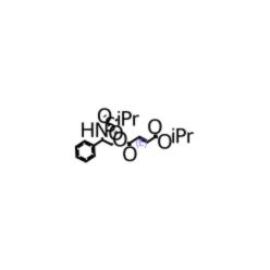 CC(C)OC(=O)/C=C/C(=O)OCC(NS(=O)(=O)C(C)C)c1ccccc1